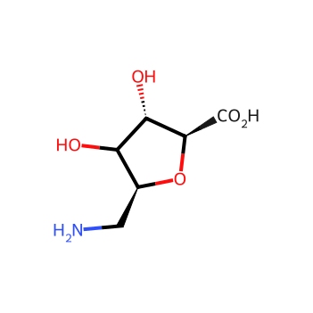 NC[C@@H]1O[C@H](C(=O)O)[C@@H](O)C1O